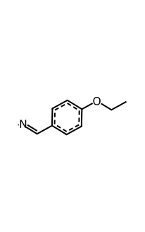 CCOc1ccc(C=[N])cc1